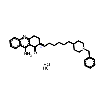 Cl.Cl.Nc1c2c(nc3ccccc13)CC/C(=C\CCCCCC1CCN(Cc3ccccc3)CC1)C2=O